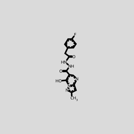 Cc1cc2ncc(C(=O)NNC(=O)Cc3ccc(F)cc3)c(O)n2n1